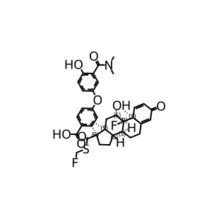 CN(C)C(=O)c1cc(Oc2ccc(C(=O)O)c([C@@]3(C(=O)SCF)CC[C@H]4[C@@H]5CCC6=CC(=O)C=C[C@]6(C)[C@@]5(F)[C@@H](O)C[C@@]43C)c2)ccc1O